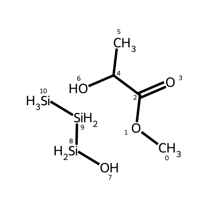 COC(=O)C(C)O.O[SiH2][SiH2][SiH3]